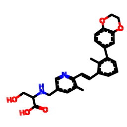 Cc1cc(CNC(CO)C(=O)O)cnc1C=Cc1cccc(-c2ccc3c(c2)OCCO3)c1C